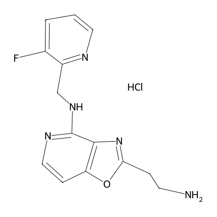 Cl.NCCc1nc2c(NCc3ncccc3F)nccc2o1